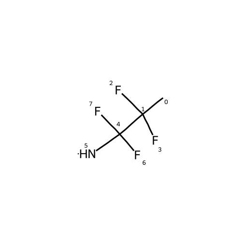 CC(F)(F)C([NH])(F)F